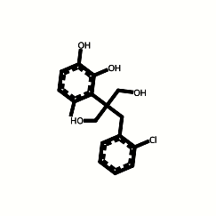 Cc1ccc(O)c(O)c1C(CO)(CO)Cc1ccccc1Cl